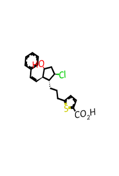 O=C(O)c1ccc(CCC[C@@H]2[C@@H](/C=C\c3ccccc3)[C@H](O)C[C@H]2Cl)s1